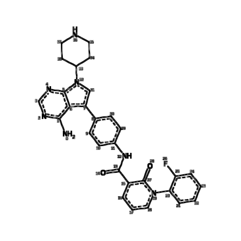 Nc1ncnc2c1c(-c1ccc(NC(=O)c3cccn(-c4ccccc4F)c3=O)cc1)cn2C1CCNCC1